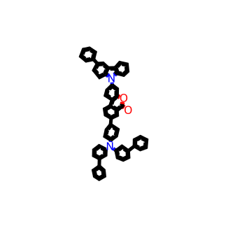 O=c1oc2cc(-n3c4ccccc4c4cc(-c5ccccc5)ccc43)ccc2c2ccc(-c3ccc(N(c4cccc(-c5ccccc5)c4)c4cccc(-c5ccccc5)c4)cc3)cc12